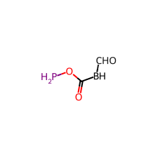 O=CBC(=O)OP